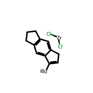 CCC(C)C1=C[CH]c2cc3c(cc21)CCC3.[Cl][Zr][Cl]